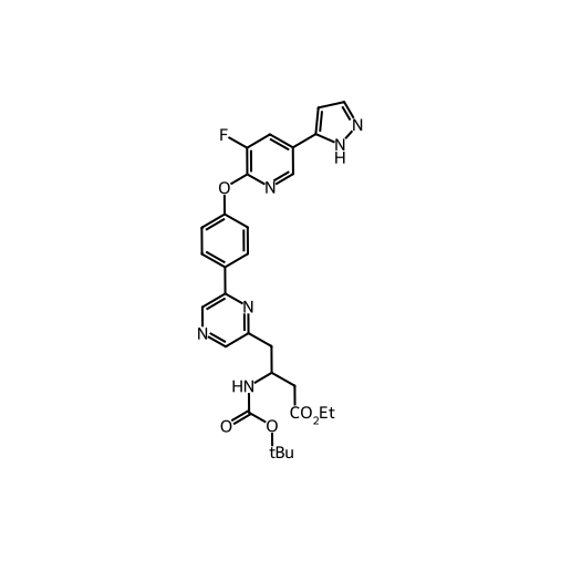 CCOC(=O)CC(Cc1cncc(-c2ccc(Oc3ncc(-c4ccn[nH]4)cc3F)cc2)n1)NC(=O)OC(C)(C)C